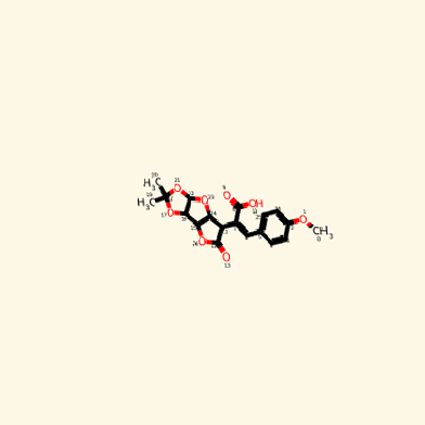 COc1ccc(C=C(C(=O)O)C2C(=O)OC3C4OC(C)(C)OC4OC23)cc1